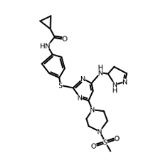 CS(=O)(=O)N1CCN(c2cc(NC3CC=NN3)nc(Sc3ccc(NC(=O)C4CC4)cc3)n2)CC1